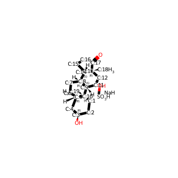 O=S(=O)(O)O.O=[C:17]1[C@@:13]2([CH3:18])[CH2:12][CH2:11][C@H:9]3[C@@H:8]([CH2:7][CH2:6][C@H:5]4[CH2:4][C@H:3](O)[CH2:2][CH2:1][C@@:10]43[CH3:19])[C@@H:14]2[CH2:15][CH2:16]1.[NaH]